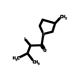 CC1CCN(C(=O)C(I)C(C)C)C1